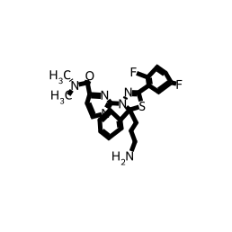 CN(C)C(=O)c1ccnc(N2N=C(c3cc(F)ccc3F)SC2(CCCN)c2ccccc2)n1